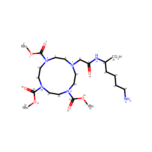 CC(C)(C)OC(=O)N1CCN(CC(=O)NC(CCCCN)C(=O)O)CCN(C(=O)OC(C)(C)C)CCN(C(=O)OC(C)(C)C)CC1